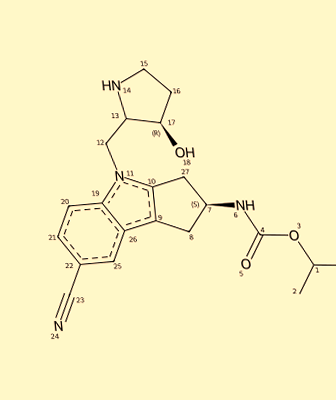 CC(C)OC(=O)N[C@H]1Cc2c(n(CC3NCC[C@H]3O)c3ccc(C#N)cc23)C1